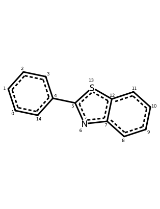 [c]1cccc(-c2nc3ccccc3s2)c1